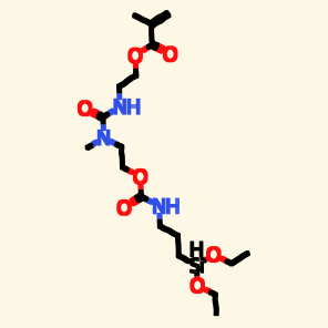 C=C(C)C(=O)OCCNC(=O)N(C)CCOC(=O)NCCC[SiH](OCC)OCC